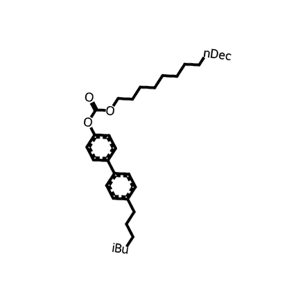 CCCCCCCCCCCCCCCCCCOC(=O)Oc1ccc(-c2ccc(CCCC(C)CC)cc2)cc1